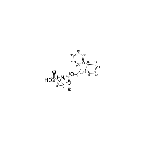 C=C[C@@H]1C[C@]1(NC(=O)OCC1c2ccccc2-c2ccccc21)C(=O)O